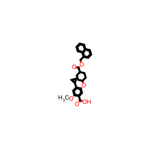 COc1cc(C2CC2)c(OC2CCC(C(=O)OCc3cccc4ccccc34)CC2)cc1C(=O)O